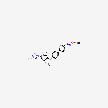 CCCCO/N=C/c1ccc(-c2ccc(Cc3cc(C)c(N=CN(C)CC)cc3C)cc2)cc1